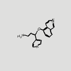 NCCC(Oc1cccc2cnccc12)c1ccncc1